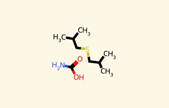 CC(C)CSCC(C)C.NC(=O)O